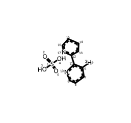 O=S(=O)(O)O.[2H]c1cccnc1-c1ccccn1